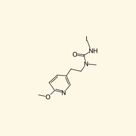 COc1ccc(CCN(C)C(=O)NI)cn1